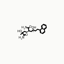 CC(O)(CC[C@H](C[C@@H](O)[CH]Cc1cccc2ccccc12)C(N)=O)C(N)=O